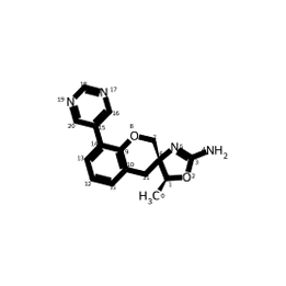 C[C@@H]1OC(N)=N[C@]12COc1c(cccc1-c1cncnc1)C2